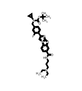 CCN(CC)CCCNC(=O)c1ccc2c(c1)sc1nc(-c3ccc(CN(C(=O)OC(C)(C)C)C4CC4)cc3F)cn12